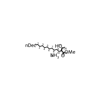 CCCCCCCCCCCCCCCCCCCCC(C(=O)OC)=C(C)O.N